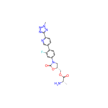 C[C@H](N)C(=O)OC[C@H]1CN(c2ccc(-c3ccc(-c4nnn(C)n4)nc3)c(F)c2)C(=O)O1